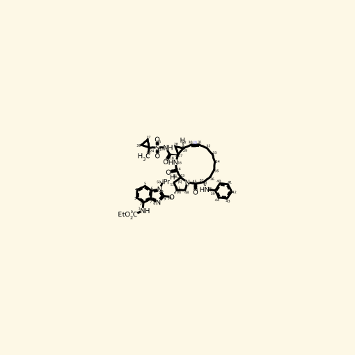 CCOC(=O)Nc1cccc2c1nc(O[C@@H]1C[C@H]3C(=O)N[C@]4(C(=O)NS(=O)(=O)C5(C)CC5)C[C@H]4/C=C\CCCCC[C@H](Nc4ccccc4)C(=O)N3C1)n2C(C)C